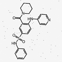 O=C(c1cc(S(=O)(=O)Nc2ccccc2)ccc1Nc1ccncc1)N1CCCCC1